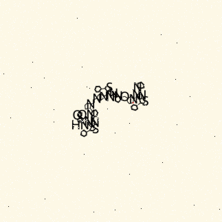 O=S1(=O)CCC(Nc2nc(-c3cccc(C4CCCN4CCN4CCN(c5nc(-c6cccc(OC7CCCN(c8nc(-c9ccccn9)nc9scc(-c%10ccccc%10)c89)C7)n6)nc6scc(-c7ccccc7)c56)CC4)n3)nc3scc(-c4ccccc4)c23)C1